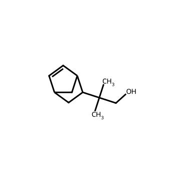 CC(C)(CO)C1CC2C=CC1C2